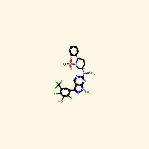 CN(c1ncc2c(-c3cc(C(F)(F)F)c(F)c(O)c3F)nn(C)c2n1)[C@@H]1CC[C@@H](c2ccccc2)N(S(C)(=O)=O)C1